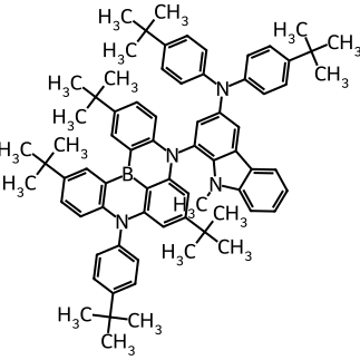 Cn1c2ccccc2c2cc(N(c3ccc(C(C)(C)C)cc3)c3ccc(C(C)(C)C)cc3)cc(N3c4ccc(C(C)(C)C)cc4B4c5cc(C(C)(C)C)ccc5N(c5ccc(C(C)(C)C)cc5)c5cc(C(C)(C)C)cc3c54)c21